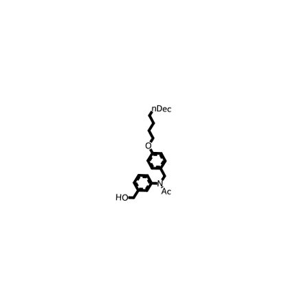 CCCCCCCCCCCCCCOc1ccc(CN(C(C)=O)c2cccc(CO)c2)cc1